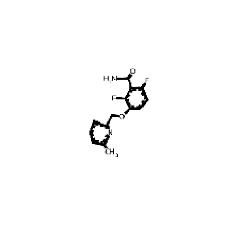 Cc1cccc(COc2ccc(F)c(C(N)=O)c2F)n1